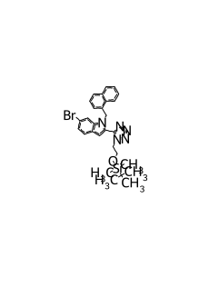 CC(C)(C)[Si](C)(C)OCCn1nnnc1-c1cc2ccc(Br)cc2n1Cc1cccc2ccccc12